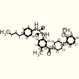 CCCCc1ccc(NS(=O)(=O)Nc2ccc(C)c(C(=O)N3CCN(c4ccccc4OC)CC3)c2)cc1